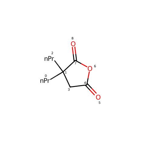 CCCC1(CCC)CC(=O)OC1=O